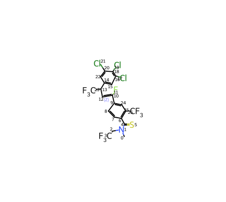 CN(CC(F)(F)F)C(=S)c1ccc(/C(F)=C/C(c2cc(Cl)c(Cl)c(Cl)c2)C(F)(F)F)cc1C(F)(F)F